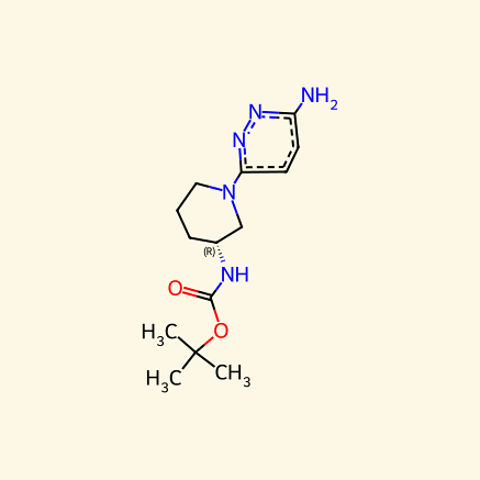 CC(C)(C)OC(=O)N[C@@H]1CCCN(c2ccc(N)nn2)C1